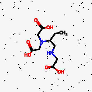 CCC(CNCC(=O)O)N(CC(=O)O)CC(=O)O